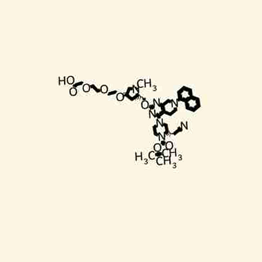 CN1C[C@H](OCCOCCOCC(=O)O)C[C@H]1COc1nc2c(c(N3CCN(C(=O)OC(C)(C)C)[C@@H](CC#N)C3)n1)CCN(c1cccc3ccccc13)C2